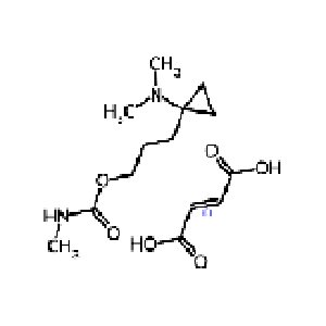 CNC(=O)OCCCC1(N(C)C)CC1.O=C(O)/C=C/C(=O)O